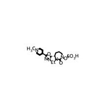 CCN1C(=O)N(OS(=O)(=O)O)CCC[C@H]1c1nnc(-c2cc[n+](C)cc2)o1